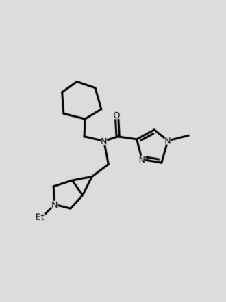 CCN1CC2C(C1)C2CN(CC1CCCCC1)C(=O)c1cn(C)cn1